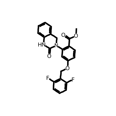 COC(=O)c1ccc(OCc2c(F)cccc2F)cc1N1Cc2ccccc2NC1=O